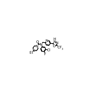 CCN1CCN(C(=O)N(Cc2ccc(C3NN=C(C(F)(F)F)O3)cn2)c2ccc(F)c(Cl)c2)CC1